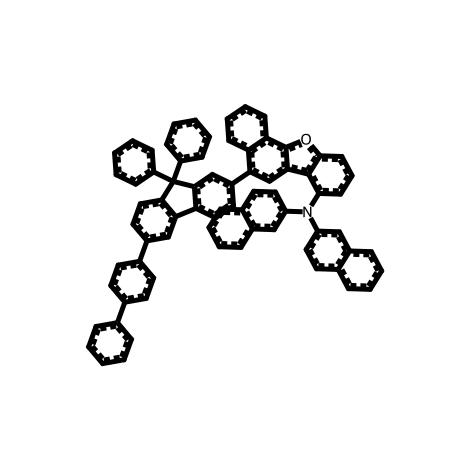 c1ccc(-c2ccc(-c3ccc4c(c3)-c3ccc(-c5cc6c(oc7cccc(N(c8ccc9ccccc9c8)c8ccc9ccccc9c8)c76)c6ccccc56)cc3C4(c3ccccc3)c3ccccc3)cc2)cc1